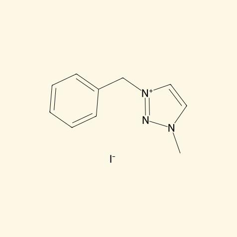 Cn1cc[n+](Cc2ccccc2)n1.[I-]